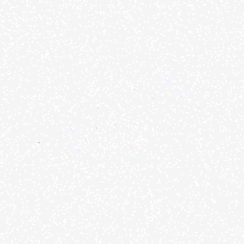 c1ccc(-n2c3ccccc3n3c4ccccc4c(-c4ccc5oc6ccc(-c7c8ccccc8n8c9ccccc9n(-c9ccccc9)c78)cc6c5c4)c23)cc1